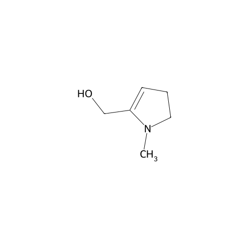 CN1CCC=C1CO